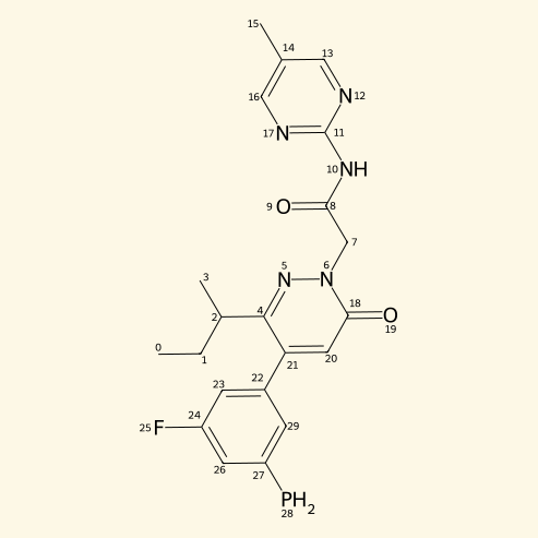 CCC(C)c1nn(CC(=O)Nc2ncc(C)cn2)c(=O)cc1-c1cc(F)cc(P)c1